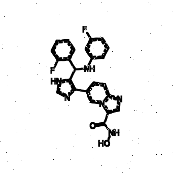 O=C(NO)c1cnc2ccc(-c3nc[nH]c3C(Nc3cccc(F)c3)c3ccccc3F)cn12